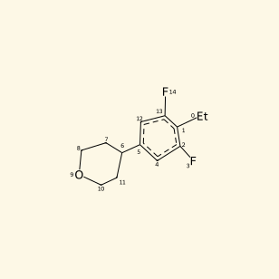 [CH2]Cc1c(F)cc(C2CCOCC2)cc1F